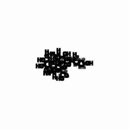 N=C1NCC(C(O)[C@H](NC(=O)[C@@H](N)Cc2ccc(O)cc2)C(=O)N[C@@H](C(=O)N[C@H]([C]=O)CO)C(O)C2CNC(=N)N2C2O[C@H](CO)[C@@H](O)[C@H](O)[C@@H]2O)N1